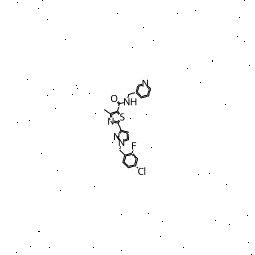 Cc1nc(-c2ccn(Cc3ccc(Cl)cc3F)n2)sc1C(=O)NCc1cccnc1